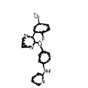 [C-]#[N+]c1ccc(F)c(-c2nccnc2Oc2ccc(Nc3ccccn3)cc2)c1